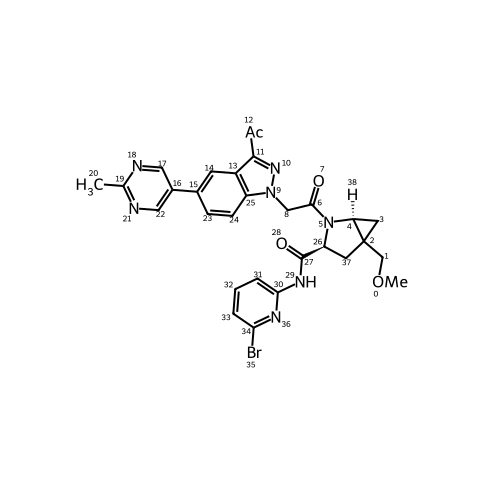 COCC12C[C@@H]1N(C(=O)Cn1nc(C(C)=O)c3cc(-c4cnc(C)nc4)ccc31)[C@H](C(=O)Nc1cccc(Br)n1)C2